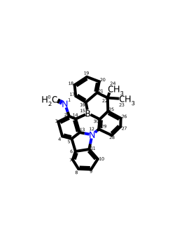 C=Nc1ccc2c3ccccc3n3c2c1B1c2ccccc2C(C)(C)c2cccc-3c21